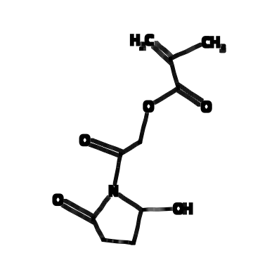 C=C(C)C(=O)OCC(=O)N1C(=O)CCC1O